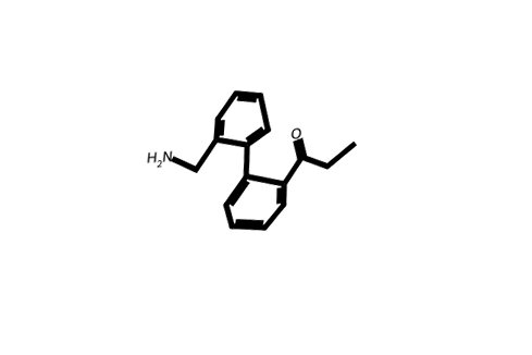 CCC(=O)c1ccccc1-c1ccccc1CN